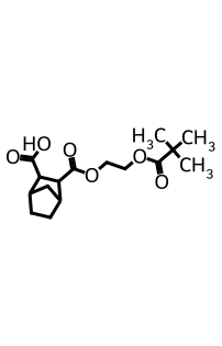 CC(C)(C)C(=O)OCCOC(=O)C1C2CCC(C2)C1C(=O)O